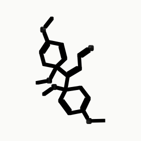 COC1=CCC(OC)(C(=CC=O)C2(OC)C=CC(OC)=CC2)C=C1